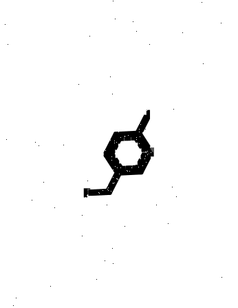 FCc1ccc(I)nc1